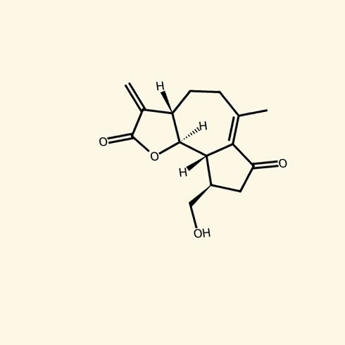 C=C1C(=O)O[C@@H]2[C@@H]3C(=C(C)CC[C@@H]12)C(=O)C[C@H]3CO